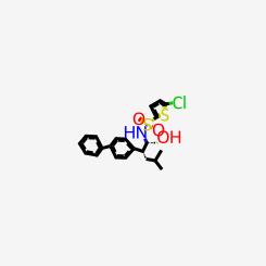 CC(C)C[C@H](c1ccc(-c2ccccc2)cc1)[C@@H](CO)NS(=O)(=O)c1ccc(Cl)s1